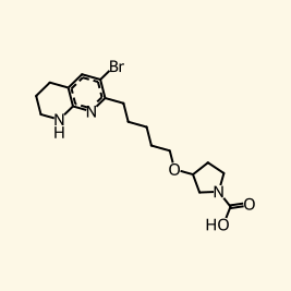 O=C(O)N1CCC(OCCCCCc2nc3c(cc2Br)CCCN3)C1